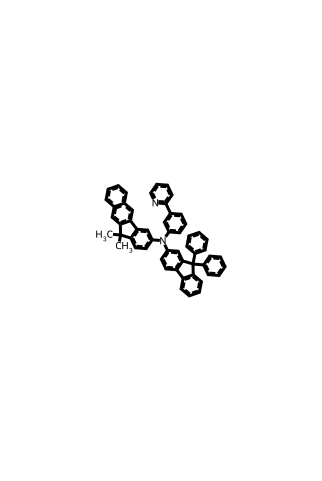 CC1(C)c2ccc(N(c3cccc(-c4ccccn4)c3)c3ccc4c(c3)C(c3ccccc3)(c3ccccc3)c3ccccc3-4)cc2-c2cc3ccccc3cc21